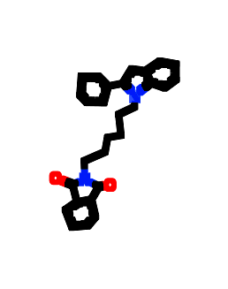 O=C1c2ccccc2C(=O)N1CCCCCCn1c(-c2ccccc2)cc2ccccc21